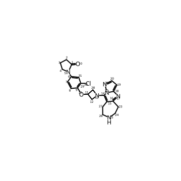 O=C1CCCN1c1ccc(OC2CN(c3c4c(nc5ccnn35)CCNCC4)C2)c(Cl)c1